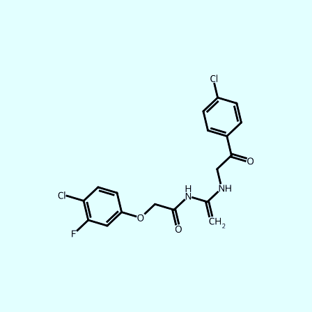 C=C(NCC(=O)c1ccc(Cl)cc1)NC(=O)COc1ccc(Cl)c(F)c1